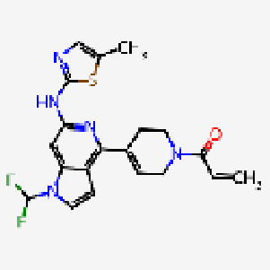 C=CC(=O)N1CC=C(c2nc(Nc3ncc(C)s3)cc3c2ccn3C(F)F)CC1